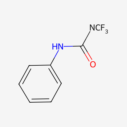 O=C(Nc1ccccc1)NC(F)(F)F